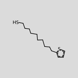 SCCCCCCCCCCc1cccs1